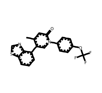 Cc1cc(=O)n(-c2ccc(OC(F)(F)F)cc2)cc1-c1cccc2scnc12